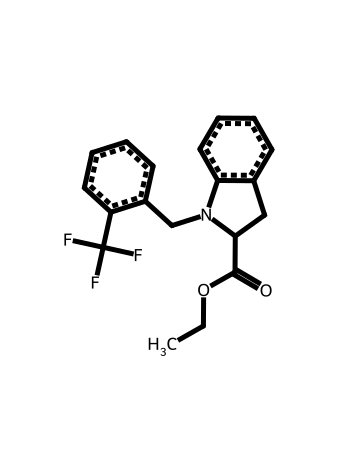 CCOC(=O)C1Cc2ccccc2N1Cc1ccccc1C(F)(F)F